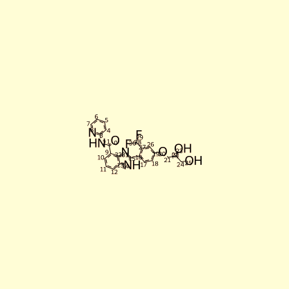 O=C(Nc1ccccn1)c1cccc2[nH]c(-c3ccc(OC[C@@H](O)CO)cc3C(F)F)nc12